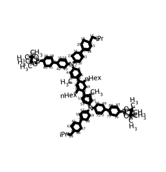 CCCCCCC1=CC(C2=CCC(N(C3=CC=C(C4=CC=C(CC(C)C)CC4)CC3)C3C=CC(C4C=CC(B5OC(C)(C)C(C)(C)O5)CC4)CC3)C=C2C)C(CCCCCC)CC1c1ccc(N(C2=CC=C(C3C=CC(CC(C)C)CC3)CC2)C2C=CC(C3=CCC(B4OC(C)(C)C(C)(C)O4)C=C3)CC2)cc1C